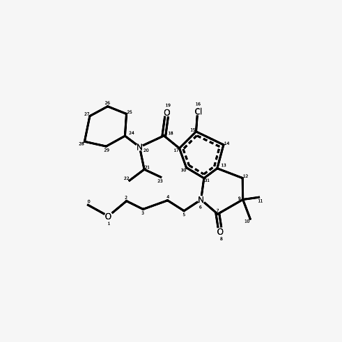 COCCCCN1C(=O)C(C)(C)Cc2cc(Cl)c(C(=O)N(C(C)C)C3CCCCC3)cc21